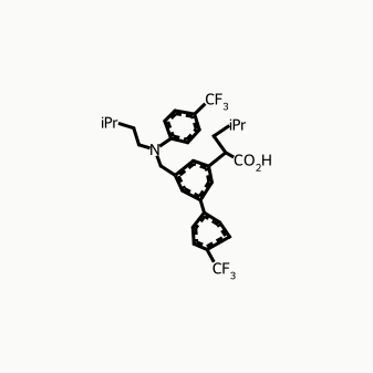 CC(C)CCN(Cc1cc(-c2ccc(C(F)(F)F)cc2)cc(C(CC(C)C)C(=O)O)c1)c1ccc(C(F)(F)F)cc1